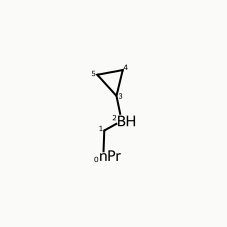 CCCCBC1CC1